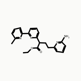 CCOC(=O)C(CCc1cccc(N)n1)c1cccc(-c2cccc(C)n2)n1